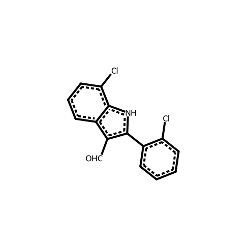 O=Cc1c(-c2ccccc2Cl)[nH]c2c(Cl)cccc12